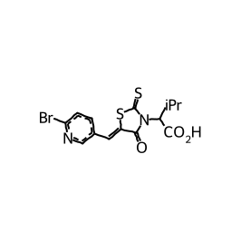 CC(C)C(C(=O)O)N1C(=O)/C(=C/c2ccc(Br)nc2)SC1=S